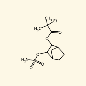 CCC(C)(C)C(=O)OC1C2CCC(C2)C1OS(N)(=O)=O